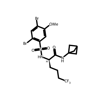 COc1cc(S(=O)(=O)N[C@H](CCCC(F)(F)F)C(=O)NC23CC(C2)C3)c(Br)cc1Br